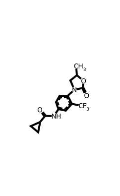 CC1CN(c2ccc(NC(=O)C3CC3)cc2C(F)(F)F)C(=O)O1